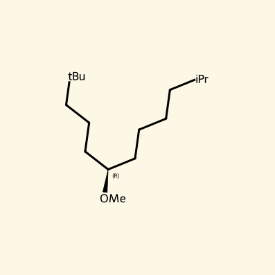 CO[C@H](CCCCC(C)C)CCCC(C)(C)C